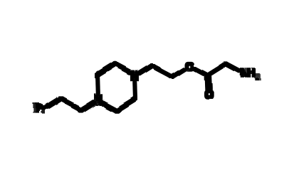 CC(C)CCN1CCN(CCOC(=O)CN)CC1